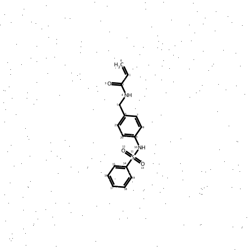 C=CC(=O)NCc1ccc(NS(=O)(=O)c2ccccc2)cc1